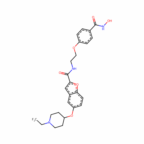 O=C(NO)c1ccc(OCCNC(=O)c2cc3cc(OC4CCN(CC(F)(F)F)CC4)ccc3o2)cc1